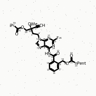 C#C[C@](CCn1cnc2c(NC(=O)c3ccccc3COC(=O)CCCCC)nc(F)nc21)(COC(=O)C(C)C)OC